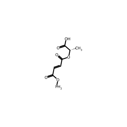 C[C@H](OC(=O)/C=C/C(=O)OP)C(=O)O